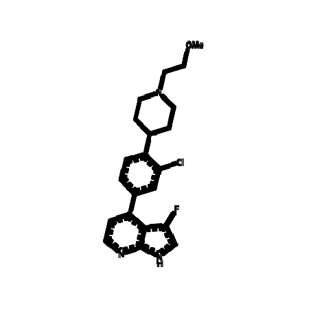 COCCN1CCC(c2ccc(-c3ccnc4[nH]cc(F)c34)cc2Cl)CC1